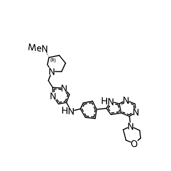 CN[C@@H]1CCCN(Cc2ncc(Nc3ccc(-c4cc5c(N6CCOCC6)ncnc5[nH]4)cc3)cn2)C1